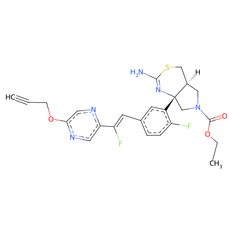 C#CCOc1cnc(/C(F)=C/c2ccc(F)c([C@]34CN(C(=O)OCC)C[C@@H]3CSC(N)=N4)c2)cn1